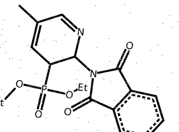 CCOP(=O)(OCC)C1C=C(C)C=NC1N1C(=O)c2ccccc2C1=O